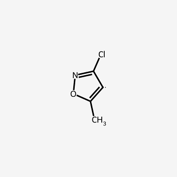 Cc1[c]c(Cl)no1